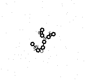 c1ccc(-c2nc3c(ccc4oc5ccc(-c6ccc(N(c7ccc8c(c7)sc7ccccc78)c7ccc8oc9ccccc9c8c7)cc6)cc5c43)s2)cc1